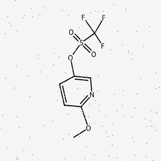 COc1ccc(OS(=O)(=O)C(F)(F)F)cn1